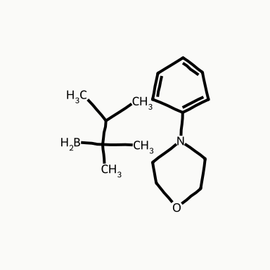 BC(C)(C)C(C)C.c1ccc(N2CCOCC2)cc1